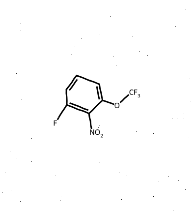 O=[N+]([O-])c1c(F)cccc1OC(F)(F)F